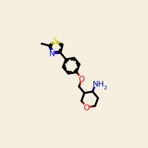 Cc1nc(-c2ccc(OCC3COCCC3N)cc2)cs1